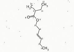 CCC=CCCOC(=O)C(C)CC